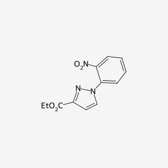 CCOC(=O)c1ccn(-c2ccccc2[N+](=O)[O-])n1